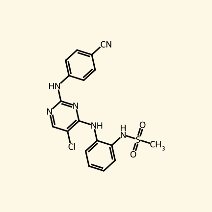 CS(=O)(=O)Nc1ccccc1Nc1nc(Nc2ccc(C#N)cc2)ncc1Cl